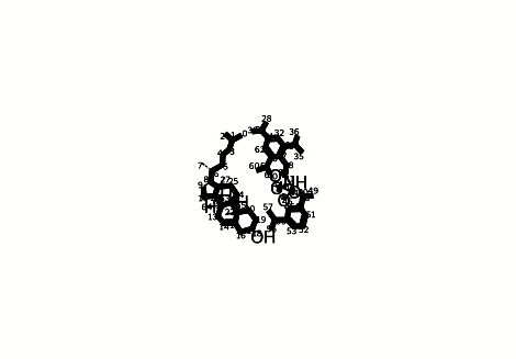 CC(C)CCC[C@@H](C)[C@H]1CC[C@H]2[C@@H]3CC=C4C[C@@H](O)CC[C@]4(C)[C@H]3CC[C@]12C.CC(C)c1cc(C(C)C)c(CC(=O)NS(=O)(=O)Oc2c(C(C)C)cccc2C(C)C)c(C(C)C)c1